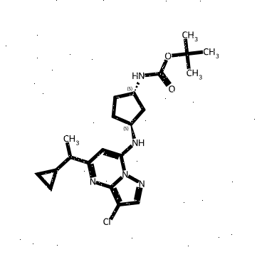 CC(c1cc(N[C@H]2CC[C@H](NC(=O)OC(C)(C)C)C2)n2ncc(Cl)c2n1)C1CC1